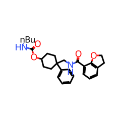 CCCCNC(=O)OC1CCC(CNC(=O)c2cccc3c2OCC3)(c2ccccc2)CC1